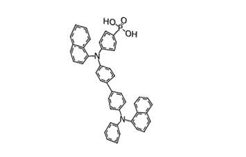 O=P(O)(O)c1ccc(N(c2ccc(-c3ccc(N(c4ccccc4)c4cccc5ccccc45)cc3)cc2)c2cccc3ccccc23)cc1